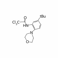 CC(C)(C)c1ccc(N2CCOCC2)c(NC(=O)C(Cl)(Cl)Cl)c1